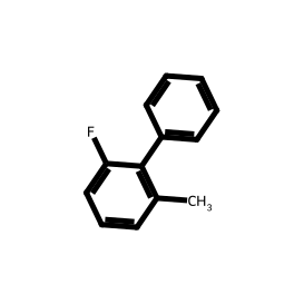 Cc1cccc(F)c1-c1ccccc1